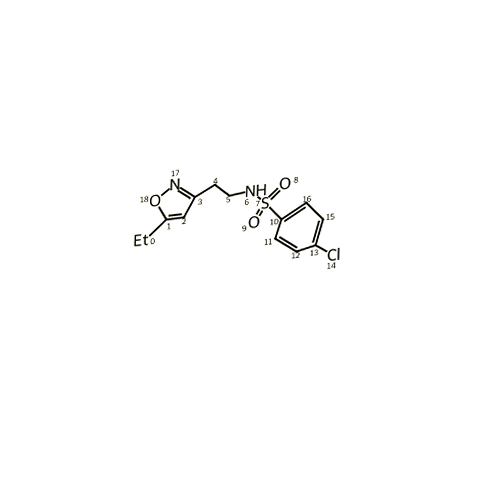 CCc1cc(CCNS(=O)(=O)c2ccc(Cl)cc2)no1